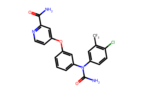 NC(=O)c1cc(Oc2cccc(N(C(N)=O)c3ccc(Cl)c(C(F)(F)F)c3)c2)ccn1